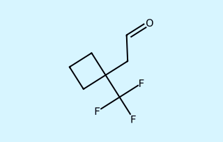 O=CCC1(C(F)(F)F)CCC1